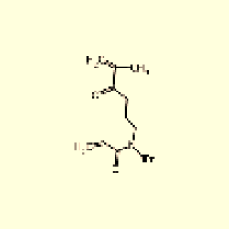 C=CC(=O)N(CCCC(=O)C(=C)C)C(C)C